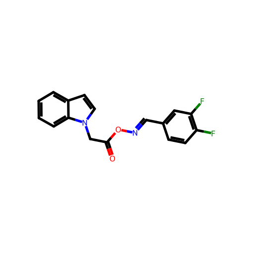 O=C(Cn1ccc2ccccc21)ON=Cc1ccc(F)c(F)c1